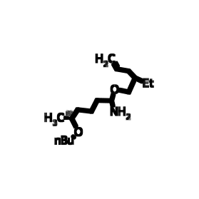 C=CCC(CC)COC(N)CCC[C@H](C)OCCCC